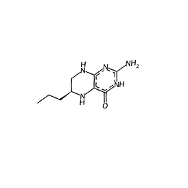 CCC[C@H]1CNc2nc(N)[nH]c(=O)c2N1